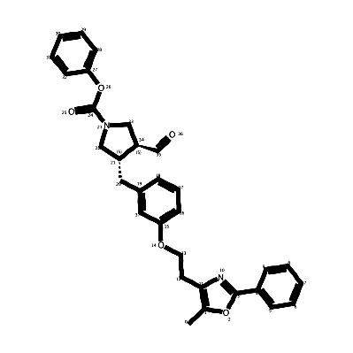 Cc1oc(-c2ccccc2)nc1CCOc1cccc(C[C@@H]2CN(C(=O)Oc3ccccc3)C[C@H]2C=O)c1